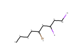 CCCCC(Br)CC(I)CCI